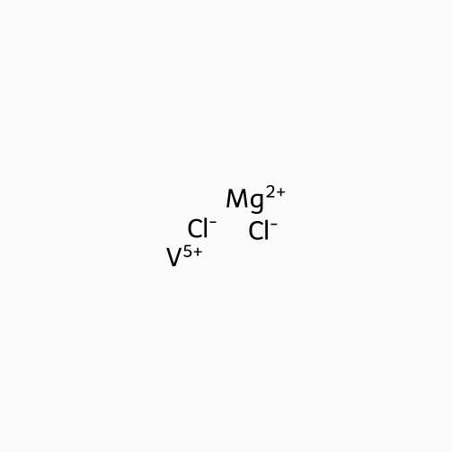 [Cl-].[Cl-].[Mg+2].[V+5]